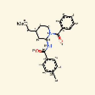 COCC1CCN(C(=O)c2ccccc2)C(NC(=O)c2ccc(C)cc2)C1